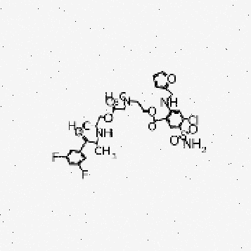 C[C@H](COC(=O)CN(C)CCOC(=O)c1cc(S(N)(=O)=O)c(Cl)cc1NCc1ccco1)N[C@H](C)C(=O)c1cc(F)cc(F)c1